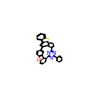 C1=CC2Oc3ccc(-c4ccc5sc6ccccc6c5c4)cc3C2C(c2nc(-c3ccccc3)nc(-c3ccccc3)n2)=C1